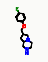 Fc1ccc(OCC2CC3CNCCN3C2)cc1